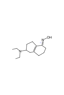 CCN(CC)C1CCC2=C(CCC/C2=N\O)C1